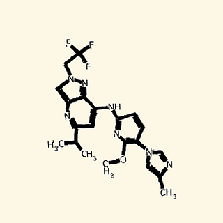 COc1nc(Nc2cc(C(C)C)nc3cn(CC(F)(F)F)nc23)ccc1-n1cnc(C)c1